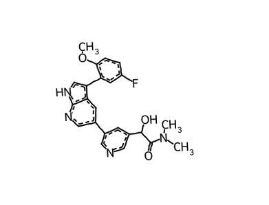 COc1ccc(F)cc1-c1c[nH]c2ncc(-c3cncc(C(O)C(=O)N(C)C)c3)cc12